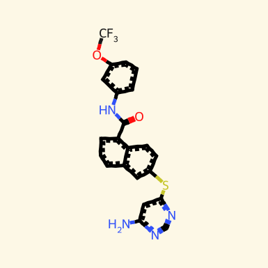 Nc1cc(Sc2ccc3c(C(=O)Nc4cccc(OC(F)(F)F)c4)cccc3c2)ncn1